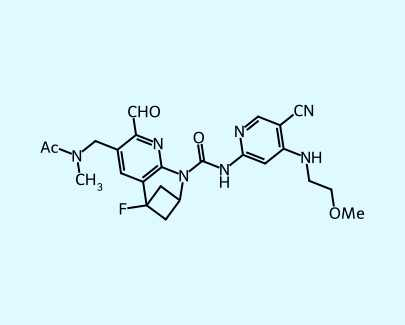 COCCNc1cc(NC(=O)N2c3nc(C=O)c(CN(C)C(C)=O)cc3C3(F)CC2C3)ncc1C#N